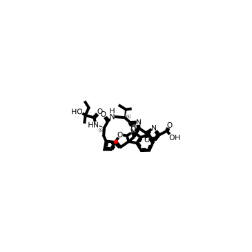 CCC(C)(O)C(=O)N[C@H]1Cc2ccc3c(c2)C2(c4ccccc4NC2O3)c2oc(nc2-c2nc(C(=O)O)co2)[C@H](C(C)C)NC1=O